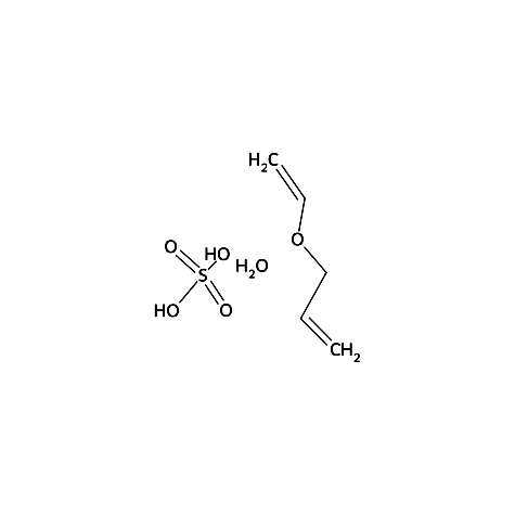 C=CCOC=C.O.O=S(=O)(O)O